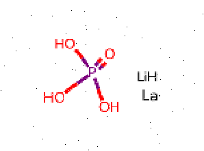 O=P(O)(O)O.[La].[LiH]